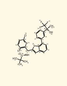 CC(C)(C)[S@+]([O-])N[C@@H](c1cc2cccc(-c3cc([C@@](C)(O)C(F)(F)F)ccn3)c2s1)c1nc(Cl)ccc1Cl